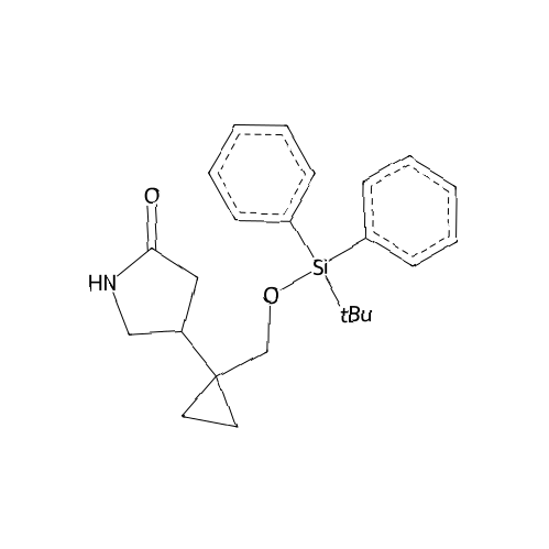 CC(C)(C)[Si](OCC1(C2CNC(=O)C2)CC1)(c1ccccc1)c1ccccc1